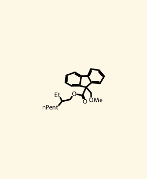 CCCCCC(CC)COC(=O)C1(COC)c2ccccc2-c2ccccc21